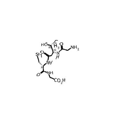 C[C@@H](O)[C@H](NC(=O)CN)C(=O)N[C@@H](CS)C(=O)NCC(=O)O